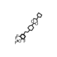 Fc1cc(CCC2CCC(C3OCC(C4CCCC4)CO3)CC2)cc(F)c1OC(F)F